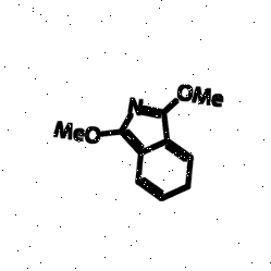 COC1=NC(OC)=C2C=CCC=C12